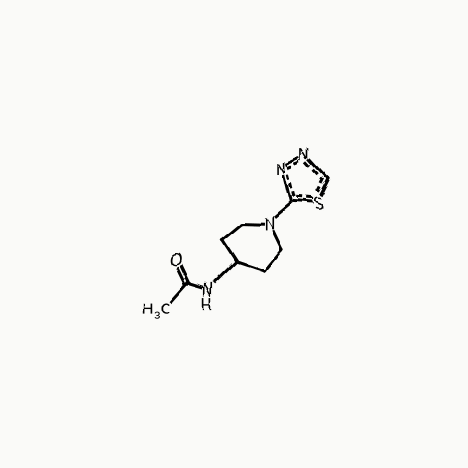 CC(=O)NC1CCN(c2nncs2)CC1